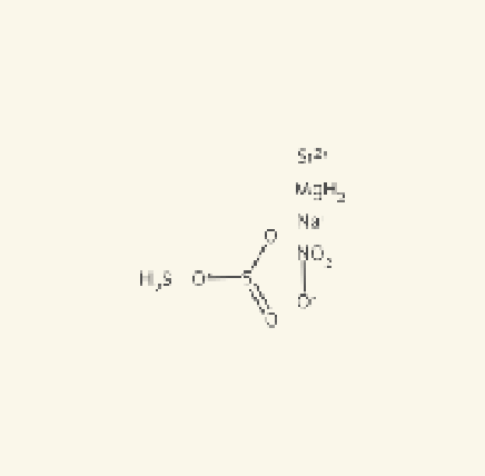 O=S([O-])[O-].O=[N+]([O-])[O-].S.[MgH2].[Na+].[Sr+2]